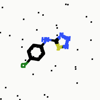 Clc1ccc(Nc2nnns2)cc1